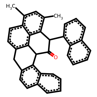 Cc1cc(C)c2ccc3c4c2c1C(c1cccc2ccccc12)C(=O)C4c1c(ccc2ccccc12)C3